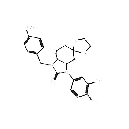 COc1ccc(CN2C(=O)N(c3ccc(C#N)c(C(F)(F)F)c3)C3CC4(CCC32)OCCO4)cc1